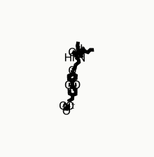 CCCc1cn(CC)c2c(=O)[nH]c(CCCOc3ccc(S(=O)(=O)N4CCC(CCO[N+](=O)[O-])CC4)cc3)nc12